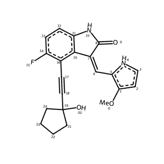 COc1cc[nH]c1/C=C1\C(=O)Nc2ccc(F)c(C#CC3(O)CCCC3)c21